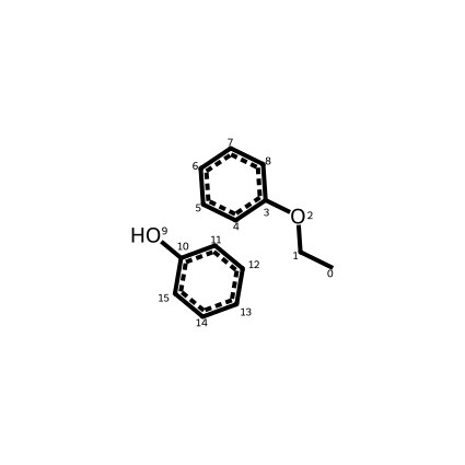 CCOc1ccccc1.Oc1ccccc1